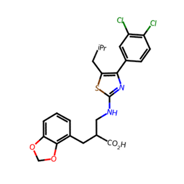 CC(C)Cc1sc(NCC(Cc2cccc3c2OCO3)C(=O)O)nc1-c1ccc(Cl)c(Cl)c1